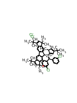 CC1C=C(C(C)(C)C)C=[C]1[Zr+2](=[C](c1cccc(Cl)c1)c1cccc(Cl)c1)[CH]1c2cc3c(cc2-c2cc4c(cc21)C(C)(C)C=C4C(C)(C)C)C(C(C)(C)C)=CC3(C)C.[Cl-].[Cl-]